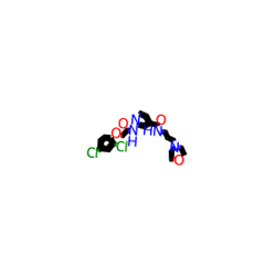 O=C(COc1ccc(Cl)cc1Cl)Nc1cc(C(=O)NCCCN2CCOCC2)ccn1